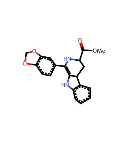 COC(=O)C1CC2C(=C(c3ccc4c(c3)OCO4)N1)Nc1ccccc12